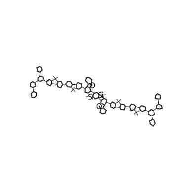 CC1(C)c2cc(-c3cc(-c4ccccc4)cc(-c4cccc(-c5ccccc5)c4)c3)ccc2-c2ccc(-c3ccc4c(c3)C(C)(C)c3cc(-c5cc6c(c7oc8ccccc8c57)-c5cc7c(cc5[Si]6(C)C)-c5c(cc(-c6ccc8c(c6)C(C)(C)c6cc(-c9ccc%10c(c9)C(C)(C)c9cc(-c%11cc(-c%12ccccc%12)cc(-c%12cccc(-c%13ccccc%13)c%12)c%11)ccc9-%10)ccc6-8)c6c5oc5ccccc56)[Si]7(C)C)ccc3-4)cc21